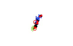 Cc1cc(OC(F)(F)F)ccc1-c1ccn(-c2ccc3c(cnn3CCN3CCCC3)c2)c(=O)c1